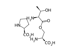 C[C@@H](O)[C@H](N)C(=O)OC[C@H](N)C(=O)O.O=C(O)[C@@H]1CCCN1